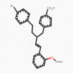 CCCCCCOc1ccccc1/C=C/C(CCc1ccc(C(C)=O)cc1)Cc1ccc(C(=O)O)cc1